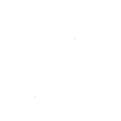 C=C(Sc1ccccc1[C@H](C)CC)c1ccc(N(c2ccc(-c3nc4ccccc4o3)cc2)c2ccc(C3Nc4ccccc4O3)cc2)cc1